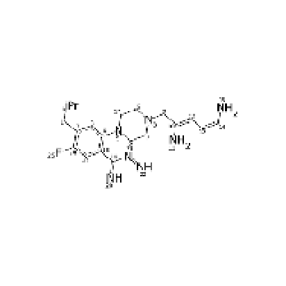 CC(C)Cc1cc(N2CCN(C/C(N)=C/C=C\N)CC2)c(C(=N)N=N)cc1F